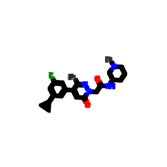 CCN1CCCC(NC(=O)Cn2nc(C(C)C)c(-c3cc(F)cc(C4CC4)c3)cc2=O)C1